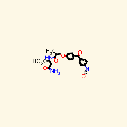 CC(COc1ccc(C(=O)c2ccc(N=C=O)cc2)cc1)C(=O)NC(CC(N)=O)C(=O)O